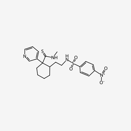 CNC(=S)C1(c2cccnc2)CCCCC1CCNS(=O)(=O)c1ccc([N+](=O)[O-])cc1